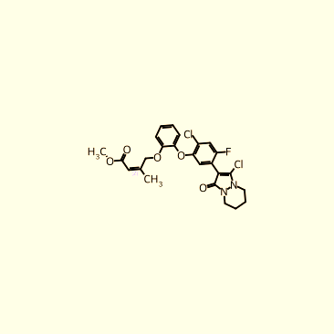 COC(=O)/C=C(/C)COc1ccccc1Oc1cc(-c2c(Cl)n3n(c2=O)CCCC3)c(F)cc1Cl